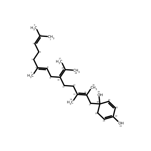 CC(C)=CCC/C(C)=C/CC(CC/C(C)=C(\C)CC1(O)C=CC(O)=CC1)=C(C)C